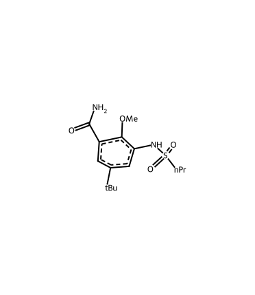 CCCS(=O)(=O)Nc1cc(C(C)(C)C)cc(C(N)=O)c1OC